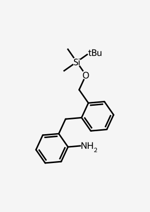 CC(C)(C)[Si](C)(C)OCc1ccccc1Cc1ccccc1N